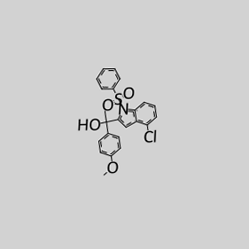 COc1ccc(C(C)(O)c2cc3c(Cl)cccc3n2S(=O)(=O)c2ccccc2)cc1